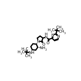 CC(C)(C)N[C@@H]1CC[C@H](N2CCC(NC(=O)c3ccnc(C(C)(C)C)n3)C2=O)[C@H](N)C1